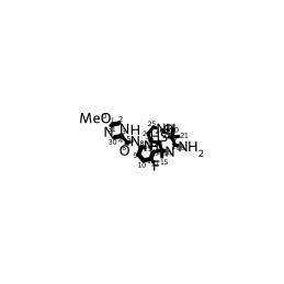 COc1cnc(C(=O)Nc2ccc(F)c(C3(C)N=C(N)C(C)(C)[SH]4(=O)NCCC[C@H]34)n2)cn1